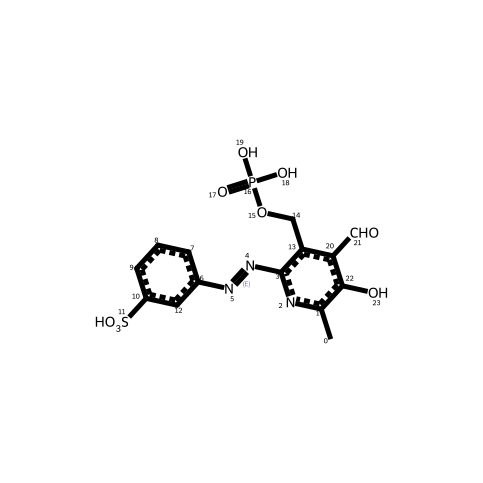 Cc1nc(/N=N/c2cccc(S(=O)(=O)O)c2)c(COP(=O)(O)O)c(C=O)c1O